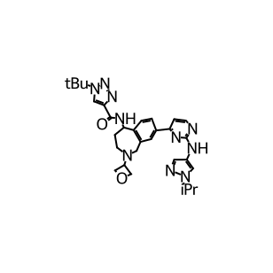 CC(C)n1cc(Nc2nccc(-c3ccc4c(c3)CN(C3COC3)CCC4NC(=O)c3cn(C(C)(C)C)nn3)n2)cn1